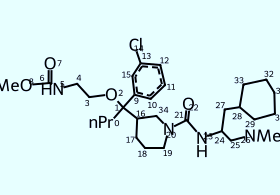 CCCC(OCCNC(=O)OC)(c1cccc(Cl)c1)C1CCCN(C(=O)NC(CNC)CC2CCCCC2)C1